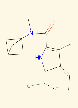 Cc1c(C(=O)N(C)C23CC(C2)C3)[nH]c2c(Cl)cccc12